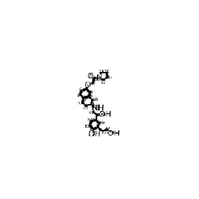 O=C(COc1ccc2c(c1)C[C@@H](NC[C@H](O)c1ccc(O)c(CCO)c1)CC2)N1CCCC1